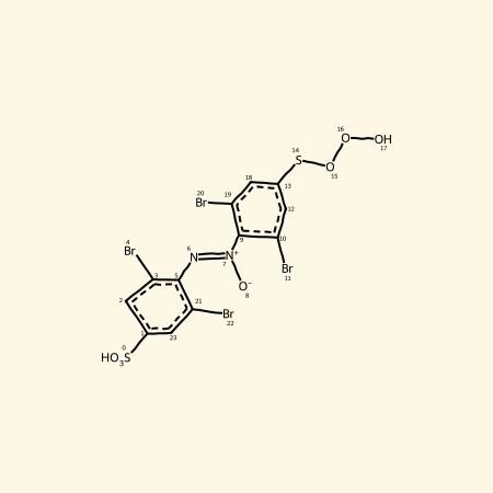 O=S(=O)(O)c1cc(Br)c(N=[N+]([O-])c2c(Br)cc(SOOO)cc2Br)c(Br)c1